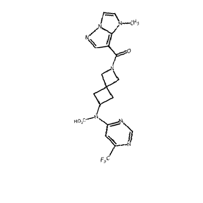 Cn1ccn2ncc(C(=O)N3CC4(CC(N(C(=O)O)c5cc(C(F)(F)F)ncn5)C4)C3)c12